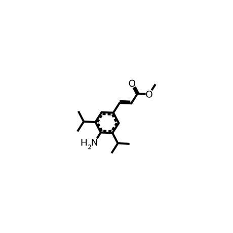 COC(=O)C=Cc1cc(C(C)C)c(N)c(C(C)C)c1